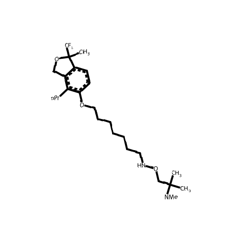 CCCc1c(OCCCCCCCNOCC(C)(C)NC)ccc2c1COC2(C)C(F)(F)F